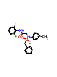 Cc1ccc(N(CC(=O)Nc2c(F)cccc2F)S(=O)(=O)Cc2ccccc2)cc1